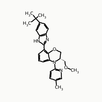 COC[C@H]1COc2c(-c3nc4ccc(C(C)(C)C)cc4[nH]3)cccc2N1c1ccc(C)cn1